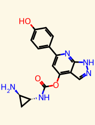 N[C@@H]1C[C@H]1NC(=O)Oc1cc(-c2ccc(O)cc2)nc2[nH]ncc12